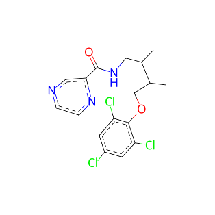 CC(CNC(=O)c1cnccn1)C(C)COc1c(Cl)cc(Cl)cc1Cl